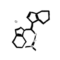 C[Si](C)=[Zr+][O]C(C1C=CC2=C1CCCC2)C1C=CC2=C1CCCC2.[Cl-]